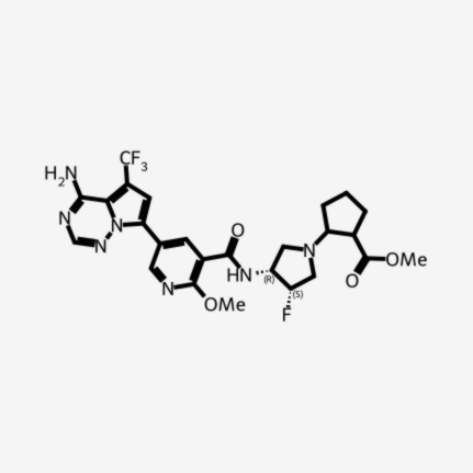 COC(=O)C1CCCC1N1C[C@H](F)[C@H](NC(=O)c2cc(-c3cc(C(F)(F)F)c4c(N)ncnn34)cnc2OC)C1